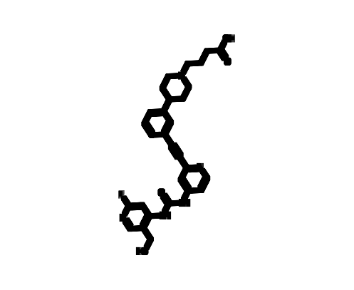 O=C(O)CCCN1CCC(c2cccc(C#Cc3cc(NC(=O)Nc4cc(F)ncc4CO)ccn3)c2)CC1